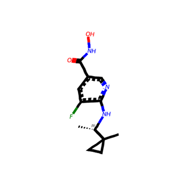 C[C@H](Nc1ncc(C(=O)NO)cc1F)C1(C)CC1